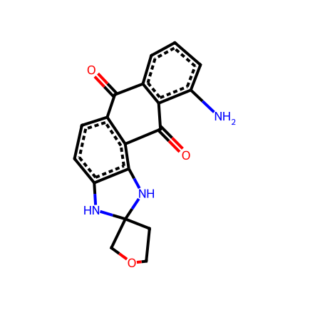 Nc1cccc2c1C(=O)c1c(ccc3c1NC1(CCOC1)N3)C2=O